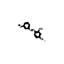 C=Nc1cccc(/N=N/c2ccc(N)cc2N)c1